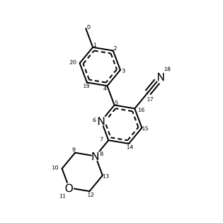 Cc1ccc(-c2nc(N3CCOCC3)ccc2C#N)cc1